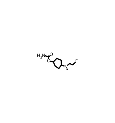 CN(CCF)C1CCC(OC(N)=O)CC1